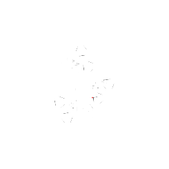 C=C1C(=CCO)CC(O[Si](c2ccccc2)(c2ccccc2)C(C)(C)C)C(OCCCO[Si](c2ccccc2)(c2ccccc2)C(C)(C)C)C1O[Si](c1ccccc1)(c1ccccc1)C(C)(C)C